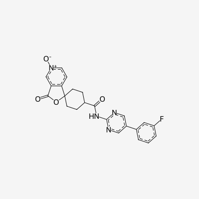 O=C1OC2(CCC(C(=O)Nc3ncc(-c4cccc(F)c4)cn3)CC2)c2cc[n+]([O-])cc21